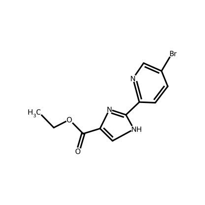 CCOC(=O)c1c[nH]c(-c2ccc(Br)cn2)n1